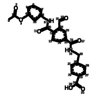 CC(=O)Oc1cccc(NC(=O)c2ccc(C(=O)NCc3ccc(C(=O)O)cc3)cc2C=O)c1